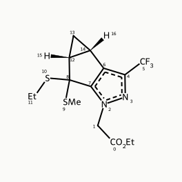 CCOC(=O)Cn1nc(C(F)(F)F)c2c1C(SC)(SCC)[C@@H]1C[C@H]21